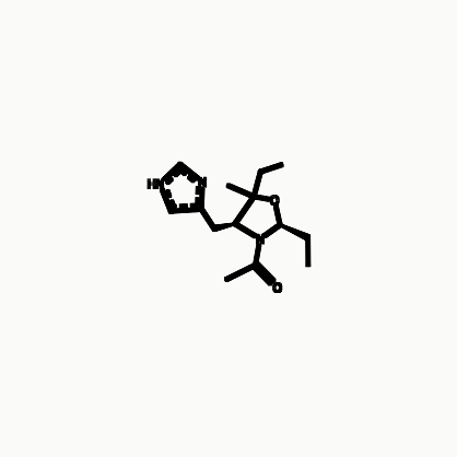 CC[C@@H]1OC(C)(CC)[C@H](Cc2c[nH]cn2)N1C(C)=O